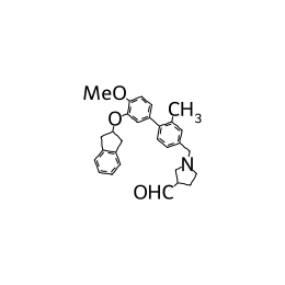 COc1ccc(-c2ccc(CN3CCC(C=O)C3)cc2C)cc1OC1Cc2ccccc2C1